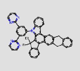 CCC1(CC)c2ccccc2-c2c1c1c(c3cc4c(cc23)Cc2ccccc2C4)c2ccccc2n1-c1cc(-c2ncccn2)cc(-c2ncccn2)c1